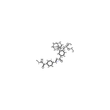 CCNC(=O)c1ccc(/C=C/C(=O)c2ccc(OC(OC)OCC)c(C34CC5CC(CC(C5)C3)C4)c2)cc1